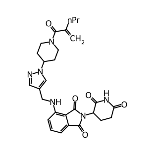 C=C(CCC)C(=O)N1CCC(n2cc(CNc3cccc4c3C(=O)N(C3CCC(=O)NC3=O)C4=O)cn2)CC1